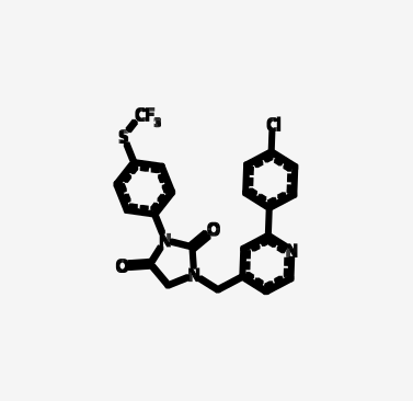 O=C1CN(Cc2ccnc(-c3ccc(Cl)cc3)c2)C(=O)N1c1ccc(SC(F)(F)F)cc1